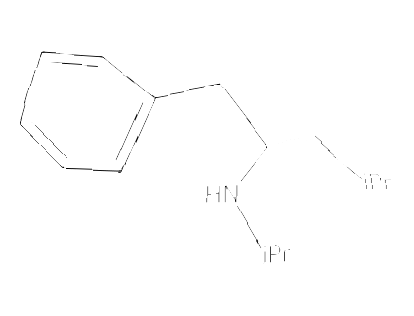 CC(C)C[C@@H](Cc1ccccc1)NC(C)C